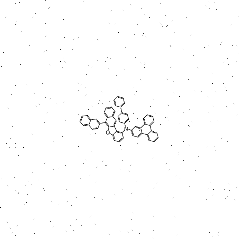 c1ccc(-c2ccc(N(c3ccc4c5ccccc5c5ccccc5c4c3)c3cccc4oc5c(-c6ccc7ccccc7c6)c6ccccc6cc5c34)cc2)cc1